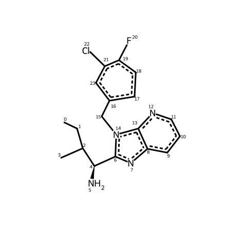 CCC(C)[C@H](N)c1nc2cccnc2n1Cc1ccc(F)c(Cl)c1